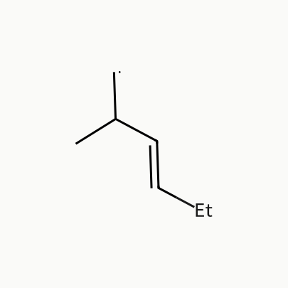 [CH2]C(C)C=CCC